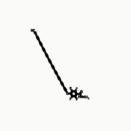 C#CC#CC#CC#CC#CC#CC#CC#CC#CC#CC#COc1c(F)c(F)c(C(=O)NC)c(F)c1F